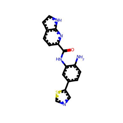 Nc1ccc(-c2cncs2)cc1NC(=O)c1ccc2cc[nH]c2n1